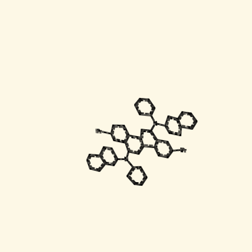 CC(C)c1ccc2c(c1)c(N(c1ccccc1)c1ccc3ccccc3c1)cc1c3ccc(C(C)C)cc3c(N(c3ccccc3)c3ccc4ccccc4c3)cc21